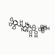 COc1ccc(CNc2ncnc3c2ncn3[C@@H]2O[C@H](COP(=O)(O)O)[C@@H](O)[C@H]2O)c(OC)c1OC